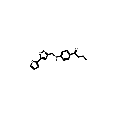 CCCC(=O)c1ccc(NCc2cc(-c3ccco3)on2)cc1